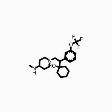 CNC1CCN(CC(c2cccc(OC(F)(F)F)c2)C2(O)CCCCC2)CC1